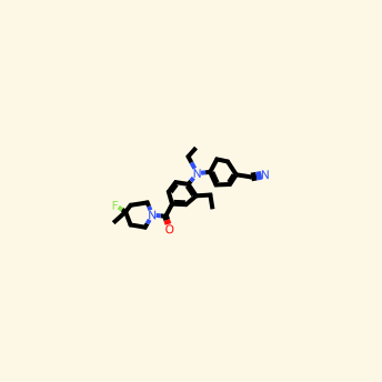 CCc1cc(C(=O)N2CCC(C)(F)CC2)ccc1N(CC)C1=CC=C(C#N)CC1